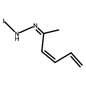 C=C/C=C\C(C)=N/NI